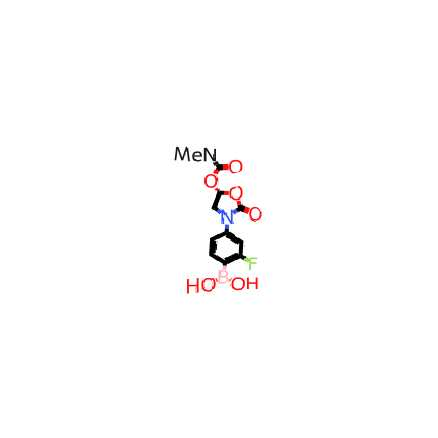 CNC(=O)O[C@@H]1CN(c2ccc(B(O)O)c(F)c2)C(=O)O1